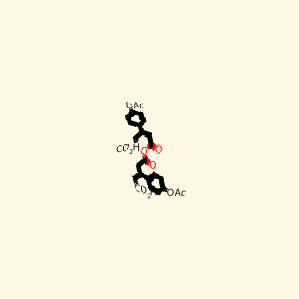 CC(=O)Oc1ccc(C(CC(=O)O)CC(=O)OC(=O)CC(CC(=O)O)c2ccc(OC(C)=O)cc2)cc1